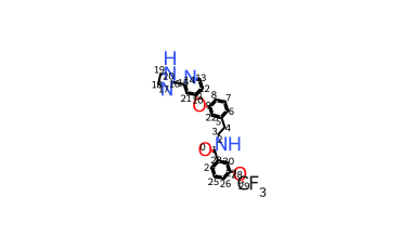 O=C(NCCc1cccc(Oc2ccnc(C3=NCCN3)c2)c1)c1cccc(OC(F)(F)F)c1